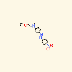 C=C(C)COCCN(C)c1ccc(/N=N/c2ccc([N+](=O)[O-])cc2)cc1